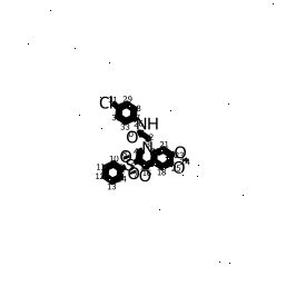 O=C(Cn1cc(S(=O)(=O)c2ccccc2)c(=O)c2cc3c(cc21)OCO3)Nc1ccc(Cl)cc1